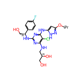 CC(C)Oc1cc(Nc2nc(N[C@@H](CO)c3ccc(F)cc3)nc(NC[C@@H](O)CO)c2Cl)[nH]n1